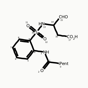 CCCC(C)C(=O)Nc1ccccc1S(=O)(=O)NC(C=O)CC(=O)O